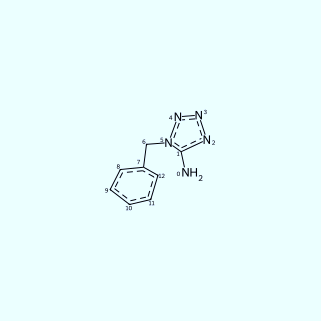 Nc1nnnn1Cc1ccccc1